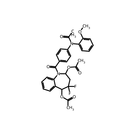 COc1ccccc1N(C(C)=O)c1ccc(C(=O)N2c3ccccc3C(OC(C)=O)C(F)(F)CC2OC(C)=O)cc1